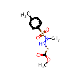 COC(=O)SNN(C)S(=O)(=O)c1ccc(C)cc1